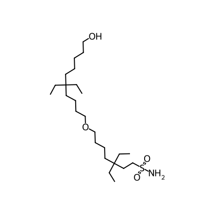 CCC(CC)(CCCCCO)CCCCOCCCCC(CC)(CC)CCS(N)(=O)=O